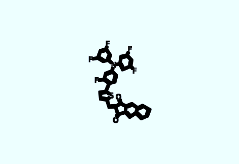 O=C1C(=Cc2ccc(-c3ccc(N(c4cc(F)cc(F)c4)c4cc(F)cc(F)c4)cc3F)s2)C(=O)c2cc3ccccc3cc21